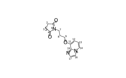 O=C1CSC(=O)N1CCCOc1cccn2ccnc12